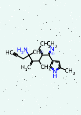 C#CCC(C)(N)C(=C)C(C)C(=C/C)/C(=N\C)c1c[nH]c(C)c1